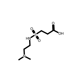 CN(C)CCNS(=O)(=O)CCC(=O)O